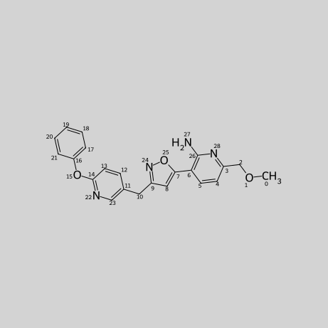 COCc1ccc(-c2cc(Cc3ccc(Oc4ccccc4)nc3)no2)c(N)n1